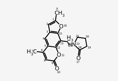 Cc1cc2cc3c(C)cc(=O)oc3c(C)c2o1.O=C1CCCN1